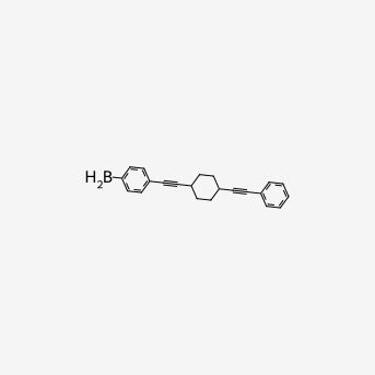 Bc1ccc(C#CC2CCC(C#Cc3ccccc3)CC2)cc1